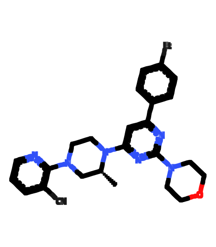 CCc1ccc(-c2cc(N3CCN(c4ncccc4C#N)C[C@H]3C)nc(N3CCOCC3)n2)cc1